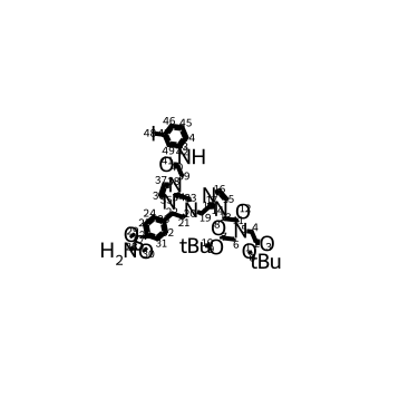 CC(C)(C)OC(=O)CN(CC(=O)OC(C)(C)C)C(=O)Cn1ccnc1CN(CCc1ccc(S(N)(=O)=O)cc1)Cc1nccn1CC(=O)Nc1cccc(I)c1